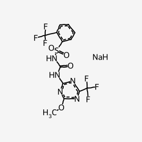 COc1nc(NC(=O)NS(=O)(=O)c2ccccc2C(F)(F)F)nc(C(F)(F)F)n1.[NaH]